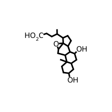 CC(CCC(=O)O)C1CCC2C3C(O)CC4CC(O)CCC4(C)C3CC3OC312